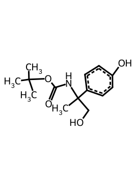 CC(C)(C)OC(=O)NC(C)(CO)c1ccc(O)cc1